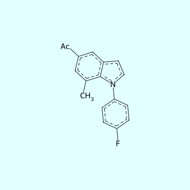 CC(=O)c1cc(C)c2c(ccn2-c2ccc(F)cc2)c1